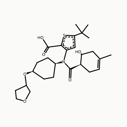 CC1=CC[C@@H](C(=O)N(c2cc(C(C)(C)C)sc2C(=O)O)[C@H]2CC[C@@H](OC3CCOC3)CC2)[C@@H](O)C1